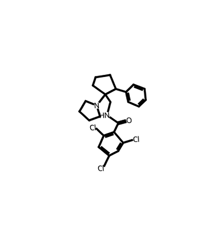 O=C(NCC1(N2CCCC2)CCCC1c1ccccc1)c1c(Cl)cc(Cl)cc1Cl